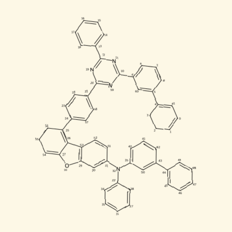 C1=CCCC(c2cccc(-c3nc(-c4ccccc4)nc(-c4ccc(C5=c6c(oc7cc(N(c8ccccc8)c8cccc(-c9ccccc9)c8)ccc67)=CCC5)cc4)n3)c2)=C1